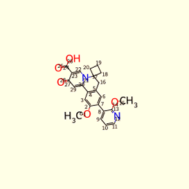 COc1cc2c(cc1-c1cccnc1OC)CC1(CCC1)n1cc(C(=O)O)c(=O)cc1-2